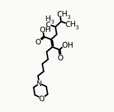 CC(C)C(C)C/C(C(=O)O)=C(/CCCCCN1CCOCC1)C(=O)O